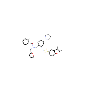 CCN(c1cc(N2CCCC2)ccc1CN(Cc1ccco1)C(=O)c1ccccc1Cl)S(=O)(=O)c1ccc2oc(C(=O)O)c(C)c2c1